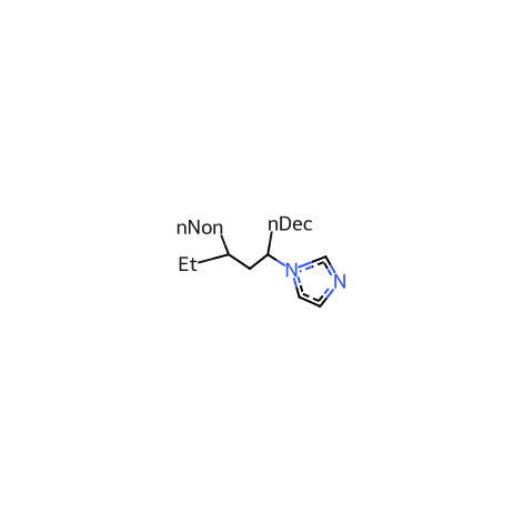 CCCCCCCCCCC(CC(CC)CCCCCCCCC)n1ccnc1